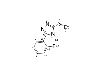 CCSc1nnc(-c2ccccc2F)n1C